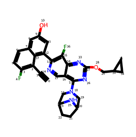 C#Cc1c(F)ccc2cc(O)cc(-c3ncc4c(N5CC6CCC(C5)N6)nc(OCC5CC5)nc4c3F)c12